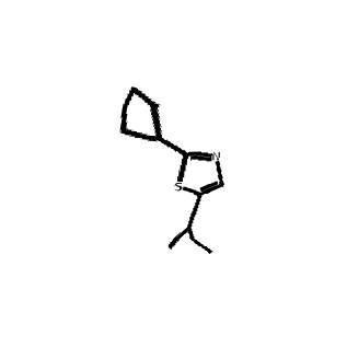 CC(C)c1cnc(C2CCC2)s1